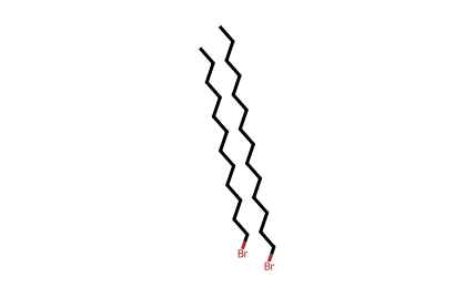 CCCCCCCCCCCCBr.CCCCCCCCCCCCCCBr